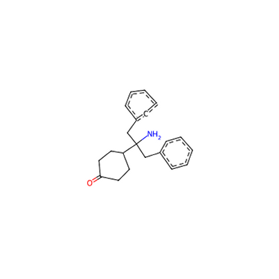 NC(Cc1ccccc1)(Cc1ccccc1)C1CCC(=O)CC1